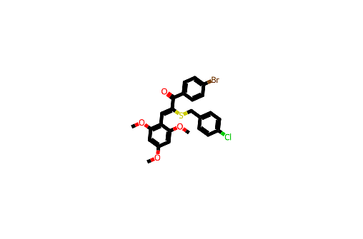 COc1cc(OC)c(C=C(SCc2ccc(Cl)cc2)C(=O)c2ccc(Br)cc2)c(OC)c1